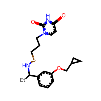 CCC(NSCCCn1ccc(=O)[nH]c1=O)c1cccc(OCC2CC2)c1